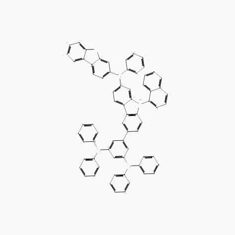 c1ccc(N(c2ccccc2)c2cc(-c3ccc4c(c3)c3ccc(N(c5ccccc5)c5ccc6c(c5)sc5ccccc56)cc3n4-c3cccc4ccccc34)cc(N(c3ccccc3)c3ccccc3)c2)cc1